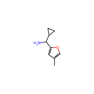 Cc1coc(C(N)C2CC2)c1